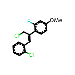 COc1ccc(/C(=C/c2ccccc2Cl)CCl)c(F)c1